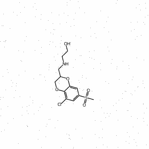 CS(=O)(=O)c1cc(Cl)c2c(c1)OC(CNCCO)CO2